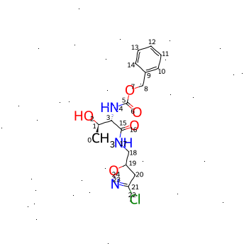 C[C@@H](O)[C@H](NC(=O)OCc1ccccc1)C(=O)NCC1CC(Cl)=NO1